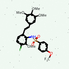 COc1cc(C=Cc2ccc(F)c(OC)c2NS(=O)(=O)c2ccc(OC(F)(F)F)cc2)cc(OC)c1OC